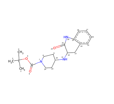 CC(C)(C)OC(=O)N1CCC(NC2Cc3ccccc3NC2=O)CC1